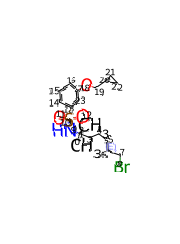 CC(C)(CC/C=C/CBr)NS(=O)(=O)c1cccc(OCC2CC2)c1